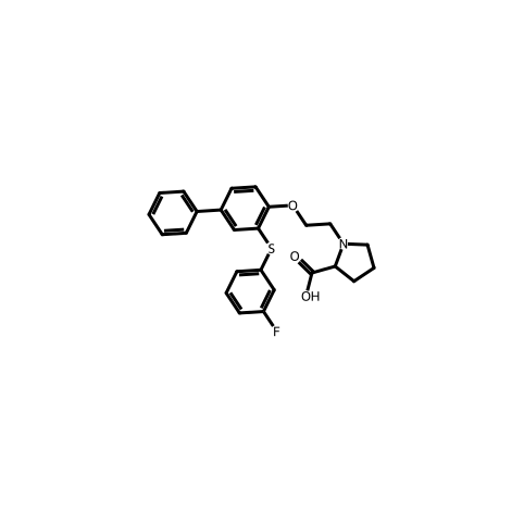 O=C(O)C1CCCN1CCOc1ccc(-c2ccccc2)cc1Sc1cccc(F)c1